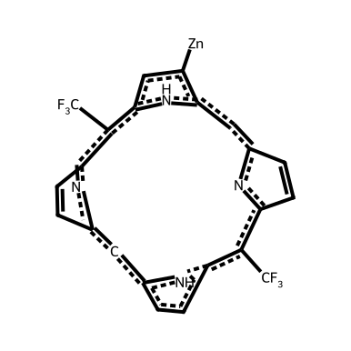 FC(F)(F)c1c2nc(cc3[nH]c(c[c]3[Zn])c(C(F)(F)F)c3nc(cc4ccc1[nH]4)C=C3)C=C2